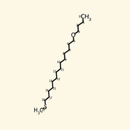 CCCCOCCCCCCCCCCCCCCSC